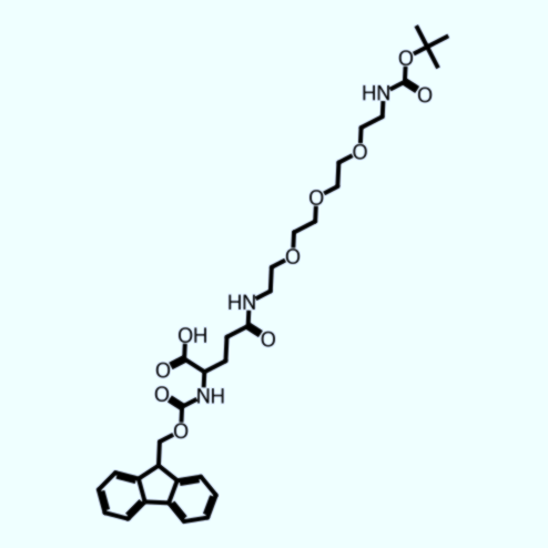 CC(C)(C)OC(=O)NCCOCCOCCOCCNC(=O)CCC(NC(=O)OCC1c2ccccc2-c2ccccc21)C(=O)O